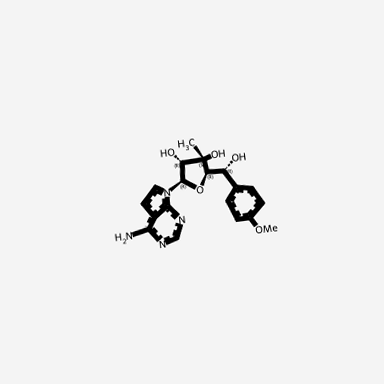 COc1ccc([C@@H](O)[C@H]2O[C@@H](n3ccc4c(N)ncnc43)[C@H](O)[C@]2(C)O)cc1